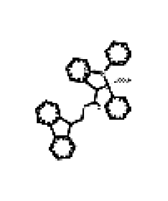 CSCC(C(=O)OCC1c2ccccc2-c2ccccc21)[C@](C(=O)O)(c1ccccc1)N(c1ccccc1)c1ccccc1